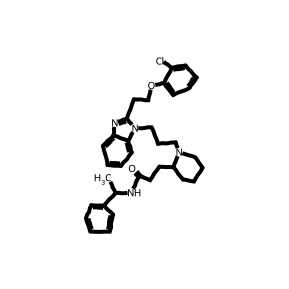 CC(NC(=O)CCC1CCCCN1CCCn1c(CCOc2ccccc2Cl)nc2ccccc21)c1ccccc1